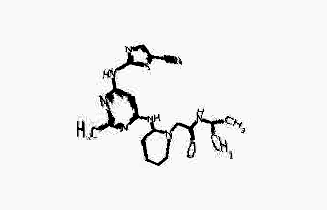 Cc1nc(Nc2ncc(C#N)s2)cc(NC2CCCCN2CC(=O)NC(C)C)n1